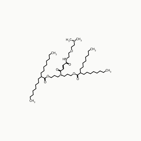 CCCCCCCCC(CCCCCCCC)C(=O)OCCCN(CCCOC(=O)C(CCCCCCCC)CCCCCCCC)C(=O)C=CC(=O)NCCOCCN(C)C